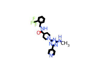 CNc1nc(-c2ccncc2)nc(N2CCC(C(=O)NCc3ccccc3C(F)(F)F)CC2)n1